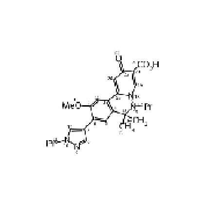 COc1cc2c(cc1-c1cnn(C(C)C)c1)C(C)(C)N(C(C)C)n1cc(C(=O)O)c(=O)cc1-2